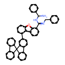 NC(N/C(=N\Cc1ccccc1)c1cccc2c1oc1cccc(-c3ccc4c(c3)C3(c5ccccc5-c5ccccc53)c3ccccc3-4)c12)c1ccccc1